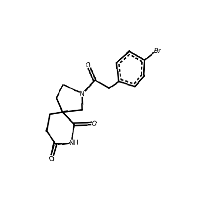 O=C1CCC2(CCN(C(=O)Cc3ccc(Br)cc3)C2)C(=O)N1